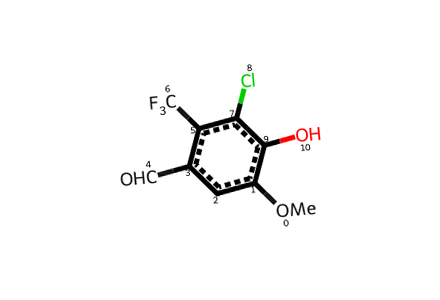 COc1cc(C=O)c(C(F)(F)F)c(Cl)c1O